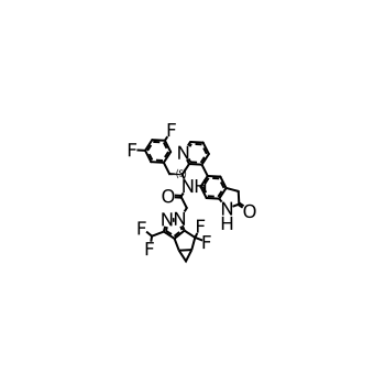 O=C1Cc2cc(-c3cccnc3[C@H](Cc3cc(F)cc(F)c3)NC(=O)Cn3nc(C(F)F)c4c3C(F)(F)C3CC43)ccc2N1